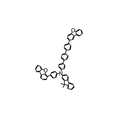 CC1(C)c2ccccc2-c2ccc(N(c3ccc(-c4ccc(-c5ccc(-c6ccc7oc8ccccc8c7c6)cc5)cc4)cc3)c3ccc(-c4cccc5c4oc4ccccc45)cc3)cc21